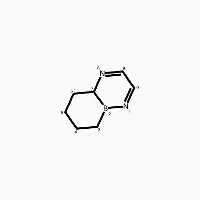 C1=NB2CCCCC2N=C1